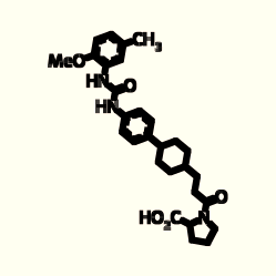 COc1ccc(C)cc1NC(=O)Nc1ccc(C2CCC(CCC(=O)N3CCCC3C(=O)O)CC2)cc1